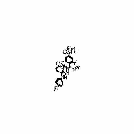 CCC[C@H](NC(=O)N1c2cnn(-c3ccc(F)cc3)c2CCC1C(F)(F)F)c1ccc(S(C)(=O)=O)cc1F